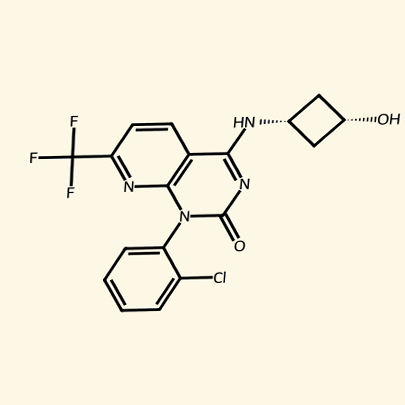 O=c1nc(N[C@H]2C[C@@H](O)C2)c2ccc(C(F)(F)F)nc2n1-c1ccccc1Cl